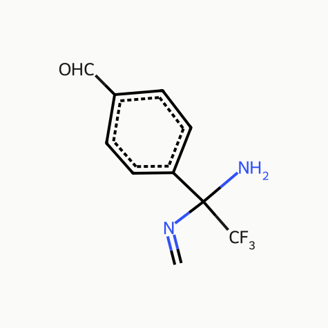 C=NC(N)(c1ccc(C=O)cc1)C(F)(F)F